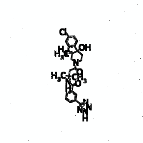 CC(C)(CC(=O)N1CCC(O)(c2ccc(Cl)cc2)C(C)(C)C1)NC(=O)c1cccc(-c2nn[nH]n2)c1